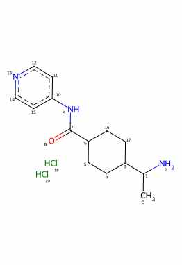 CC(N)C1CCC(C(=O)Nc2ccncc2)CC1.Cl.Cl